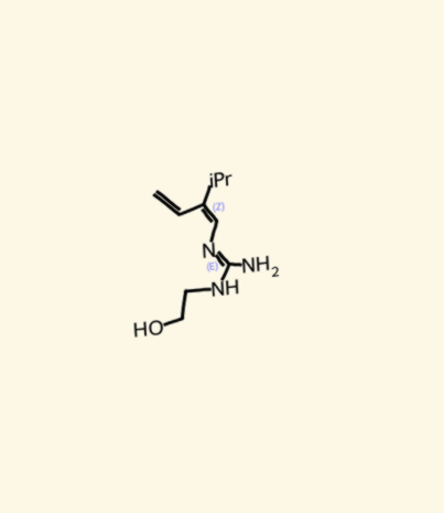 C=C/C(=C\N=C(/N)NCCO)C(C)C